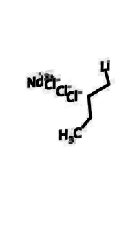 [Cl-].[Cl-].[Cl-].[Li][CH2]CCC.[Nd+3]